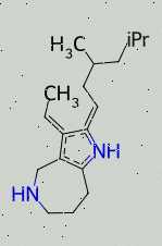 C/C=c1/c2c([nH]/c1=C/CC(C)CC(C)C)CCCNC2